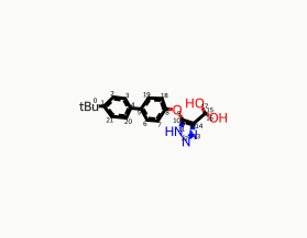 CC(C)(C)c1ccc(-c2ccc(Oc3[nH]nnc3C(O)O)cc2)cc1